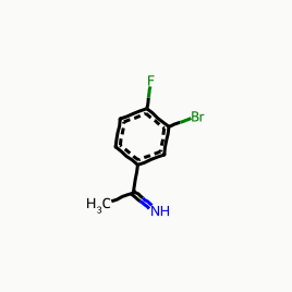 CC(=N)c1ccc(F)c(Br)c1